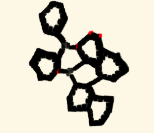 c1ccc(P(c2ccccc2)c2ccccc2P(c2ccccc2)c2ccc3ccccc3c2-c2cccc3ccccc23)cc1